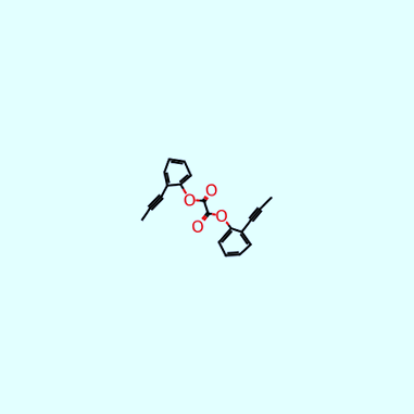 CC#Cc1ccccc1OC(=O)C(=O)Oc1ccccc1C#CC